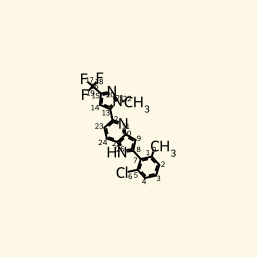 Cc1cccc(Cl)c1-c1cc2nc(-c3cc(C(F)(F)F)nn3C)ccc2[nH]1